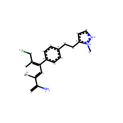 C=C(N)/C(=C/C(=C(\C)CF)c1ccc(CCc2ccnn2C)cc1)C(C)C